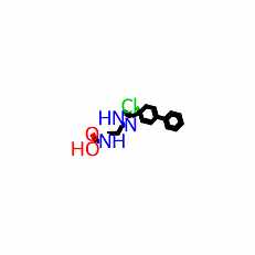 O=C(O)NCCc1nc(C2(Cl)C=CC(c3ccccc3)=CC2)c[nH]1